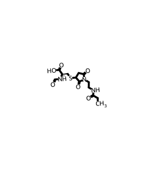 CCC(=O)NCCN1C(=O)CC(SC[C@@H](NC=O)C(=O)O)C1=O